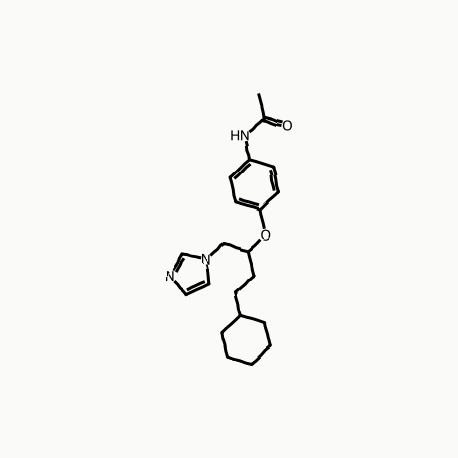 CC(=O)Nc1ccc(OC(CCC2CCCCC2)Cn2ccnc2)cc1